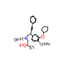 CCC(O)CN(C=O)CC(C#Cc1ccccc1)c1ccc(OC)c(OC2CCCC2)c1